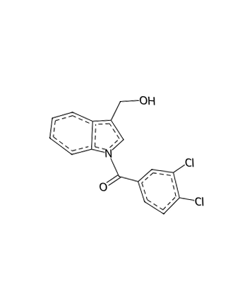 O=C(c1ccc(Cl)c(Cl)c1)n1cc(CO)c2ccccc21